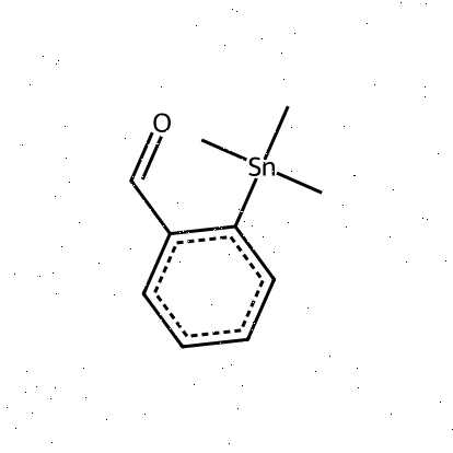 [CH3][Sn]([CH3])([CH3])[c]1ccccc1C=O